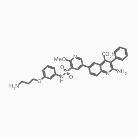 COc1ncc(-c2ccc3nc(N)c(-c4ccccc4)c(C(=O)O)c3c2)cc1S(=O)(=O)Nc1cccc(OCCCN)c1